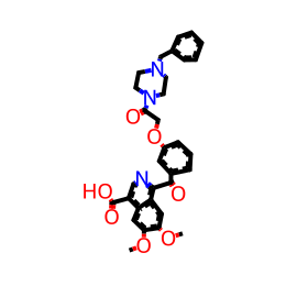 COc1cc2c(C(=O)O)cnc(C(=O)c3cccc(OCC(=O)N4CCN(Cc5ccccc5)CC4)c3)c2cc1OC